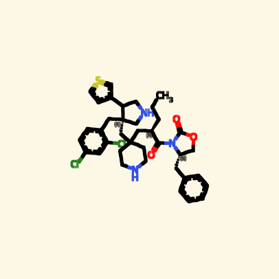 CCC[C@H](CC1(C[C@@]2(Cc3ccc(Cl)cc3Cl)CNCC2c2ccsc2)CCNCC1)C(=O)N1C(=O)OC[C@@H]1Cc1ccccc1